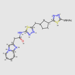 CC(=O)Nc1nnc(C2CCC(Cc3nnc(NC(=O)Cc4cn5ccccc5n4)s3)C2)s1